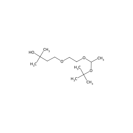 CC(OCCOCCC(C)(C)O)OC(C)(C)C